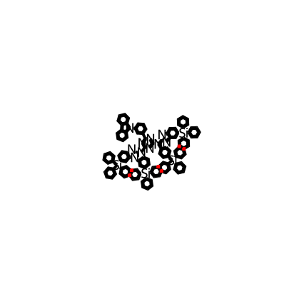 c1ccc([Si](c2ccccc2)(c2ccccc2)c2ccc3nc4n(-c5nc(-c6cccc(-n7c8ccccc8c8ccccc87)c6)nc(-n6c7ccc([Si](c8ccccc8)(c8ccccc8)c8ccccc8)cc7n7c8cc([Si](c9ccccc9)(c9ccccc9)c9ccccc9)ccc8nc67)n5)c5ccc([Si](c6ccccc6)(c6ccccc6)c6ccccc6)cc5n4c3c2)cc1